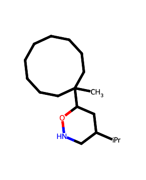 CC(C)C1CNOC(C2(C)CCCCCCCCC2)C1